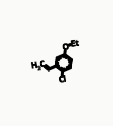 C=[C]c1cc(OCC)ccc1Cl